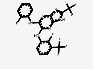 Fc1ccccc1Nc1nc2nc(C(F)(F)F)[nH]c2nc1Nc1cccc(C(F)(F)F)c1F